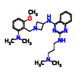 COc1cccc(N(C)C)c1CN1CC(Nc2nc(NCCCN(C)C)nc3ccccc23)C1